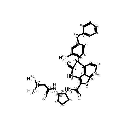 Cc1cc(Oc2ccccc2)ccc1N1C(=O)Nc2c(C(=O)N[C@@H]3CCC[C@@H]3NC(=O)CN(C)C)sc3nccc1c23